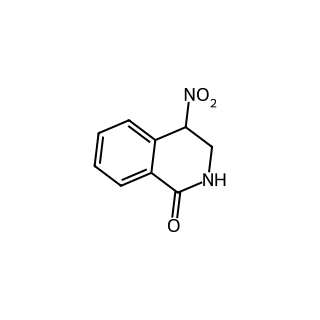 O=C1NCC([N+](=O)[O-])c2ccccc21